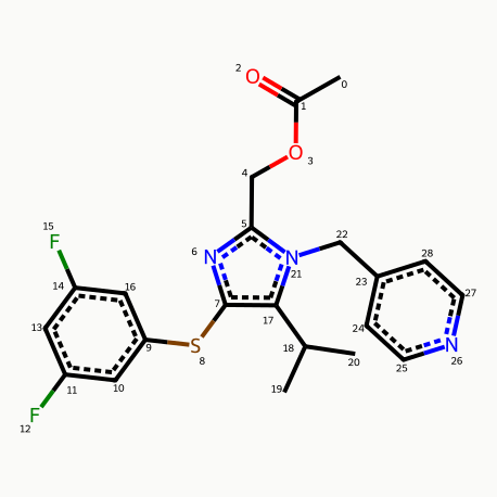 CC(=O)OCc1nc(Sc2cc(F)cc(F)c2)c(C(C)C)n1Cc1ccncc1